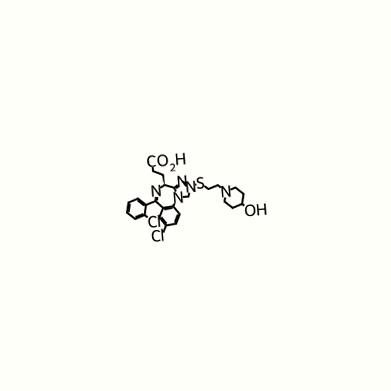 O=C(O)CC[C@@H]1N=C(c2ccccc2Cl)c2cc(Cl)ccc2N2CN(SCCN3CCC(O)CC3)N=C12